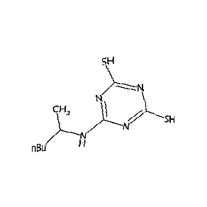 CCCCC(C)Nc1nc(S)nc(S)n1